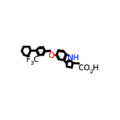 O=C(O)CC1CCc2c1[nH]c1ccc(OCc3ccc(C4CCCCC4)c(C(F)(F)F)c3)cc21